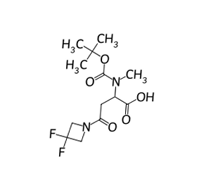 CN(C(=O)OC(C)(C)C)C(CC(=O)N1CC(F)(F)C1)C(=O)O